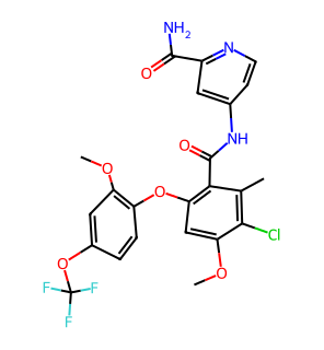 COc1cc(OC(F)(F)F)ccc1Oc1cc(OC)c(Cl)c(C)c1C(=O)Nc1ccnc(C(N)=O)c1